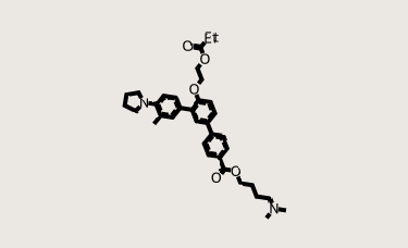 CCC(=O)OCCOc1ccc(-c2ccc(C(=O)OCCCCN(C)C)cc2)cc1-c1ccc(N2CCCC2)c(C)c1